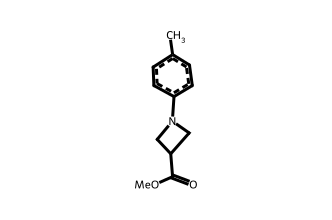 COC(=O)C1CN(c2ccc(C)cc2)C1